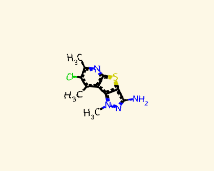 Cc1nc2sc3c(N)nn(C)c3c2c(C)c1Cl